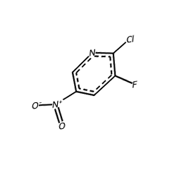 O=[N+]([O-])c1cnc(Cl)c(F)c1